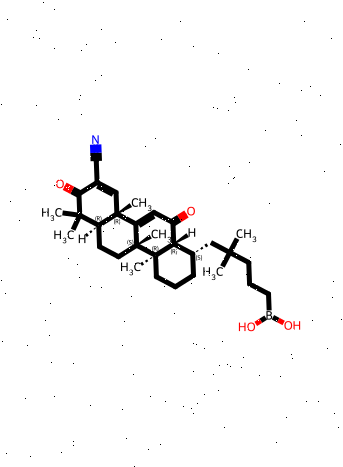 CC(C)(CCCB(O)O)C[C@@H]1CCC[C@]2(C)[C@@H]1C(=O)C=C1[C@@]3(C)C=C(C#N)C(=O)C(C)(C)[C@@H]3CC[C@]12C